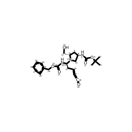 CC(C)(C)OC(=O)N[C@H]1C[C@@H](CO)N([C@@H](CC=C=C=O)NC(=O)OCc2ccccc2)C1